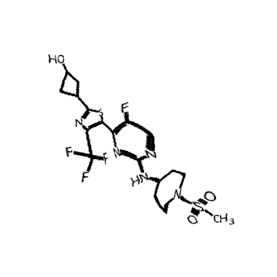 CS(=O)(=O)N1CCC(Nc2ncc(F)c(-c3sc(C4CC(O)C4)nc3C(F)(F)F)n2)CC1